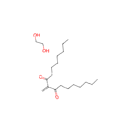 C=C(C(=O)CCCCCCC)C(=O)CCCCCCC.OCCO